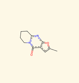 Cc1cc2c(=O)n3c(nc2o1)CCCC3